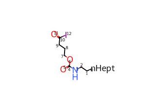 CCCCCCCCCNC(=O)OCCCC(=O)I